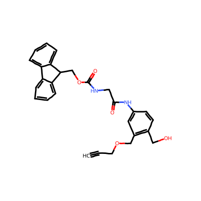 C#CCOCc1cc(NC(=O)CNC(=O)OCC2c3ccccc3-c3ccccc32)ccc1CO